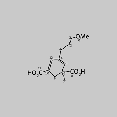 COCCCC1=CC(C)(C(=O)O)CC(C(=O)O)=C1